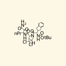 CCCC(NC(=O)[C@@H]1C2[C@H](CN1C(=O)[C@@H](NC(=O)OC(C)(C)C)C1Cc3ccccc3C1)C2(Cl)Cl)C(=O)C(N)=O